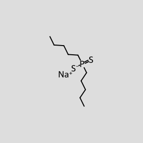 CCCCCP(=S)([S-])CCCCC.[Na+]